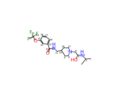 CC(C)NC(O)CN1CCC(CNC(=O)c2cccc(OC(F)(F)F)c2)CC1